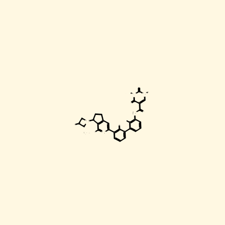 COc1nc(-c2cccc(-c3cccc(NC(=O)c4cn(C)c(=O)n(C)c4=O)c3C)c2C)cc2c1C(N1CC(O)C1)CC2